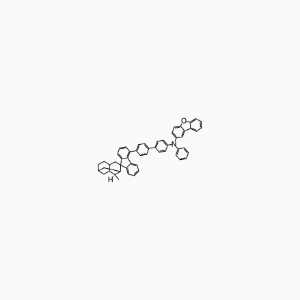 C[C@H]1C2CC3CCC2CC2(c4ccccc4-c4c(-c5ccc(-c6ccc(N(c7ccccc7)c7ccc8oc9ccccc9c8c7)cc6)cc5)cccc42)C1C3